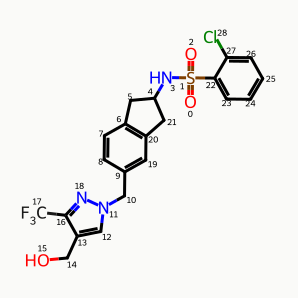 O=S(=O)(NC1Cc2ccc(Cn3cc(CO)c(C(F)(F)F)n3)cc2C1)c1ccccc1Cl